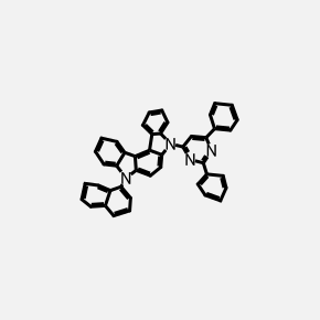 c1ccc(-c2cc(-n3c4ccccc4c4c5c6ccccc6n(-c6cccc7ccccc67)c5ccc43)nc(-c3ccccc3)n2)cc1